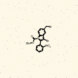 CC(C)(C)OC(=O)n1c(-c2ccccc2[N+](=O)[O-])c(Br)c2cc(CBr)ccc21